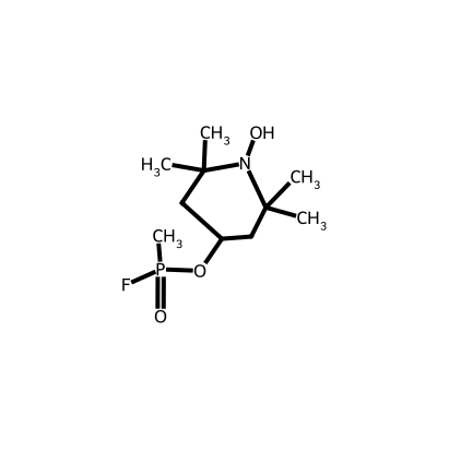 CC1(C)CC(OP(C)(=O)F)CC(C)(C)N1O